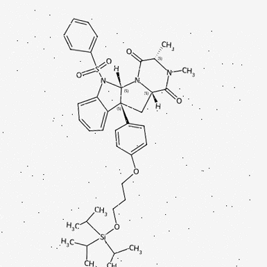 CC(C)[Si](OCCCOc1ccc([C@]23C[C@H]4C(=O)N(C)[C@@H](C)C(=O)N4[C@H]2N(S(=O)(=O)c2ccccc2)c2ccccc23)cc1)(C(C)C)C(C)C